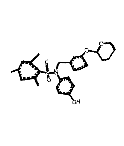 Cc1cc(C)c(S(=O)(=O)N(Cc2cccc(OC3CCCCO3)c2)c2ccc(O)cc2)c(C)c1